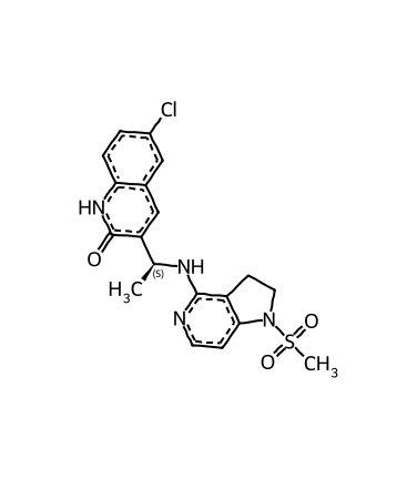 C[C@H](Nc1nccc2c1CCN2S(C)(=O)=O)c1cc2cc(Cl)ccc2[nH]c1=O